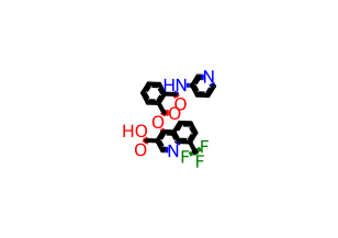 O=C(Nc1cccnc1)c1ccccc1C(=O)Oc1c(C(=O)O)cnc2c(C(F)(F)F)cccc12